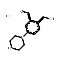 Cl.OC=c1ccc(N2CCNCC2)cc1=CO